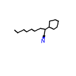 CCCCCCCC(C#N)C1CCCCC1